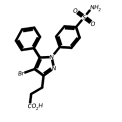 NS(=O)(=O)c1ccc(-n2nc(CCC(=O)O)c(Br)c2-c2ccccc2)cc1